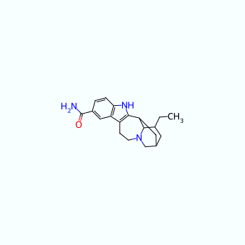 CCC1CC2CC3c4[nH]c5ccc(C(N)=O)cc5c4CCN(C2)C13